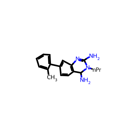 CCCN1C(N)=Nc2cc(-c3ccccc3C)ccc2C1N